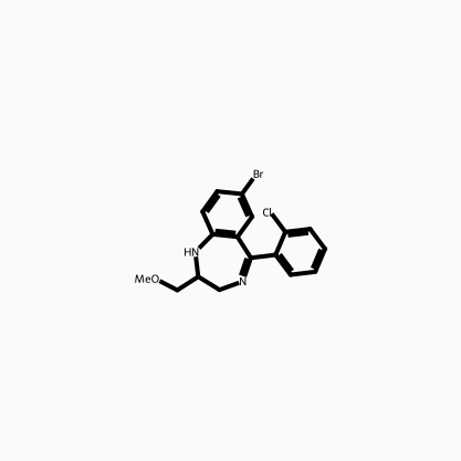 COCC1CN=C(c2ccccc2Cl)c2cc(Br)ccc2N1